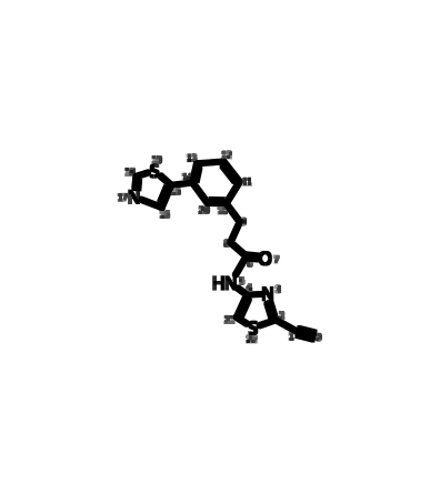 C#Cc1nc(NC(=O)CCc2cccc(-c3cncs3)c2)cs1